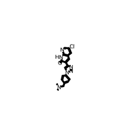 CN(C)Cc1ccc(-n2cc(-c3cc4cc(Cl)cnc4[nH]c3=O)nn2)cc1